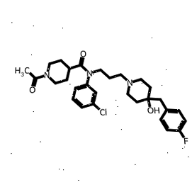 CC(=O)N1CCC(C(=O)N(CCCN2CCC(O)(Cc3ccc(F)cc3)CC2)c2cccc(Cl)c2)CC1